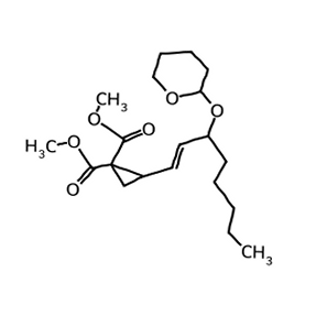 CCCCCC(C=CC1CC1(C(=O)OC)C(=O)OC)OC1CCCCO1